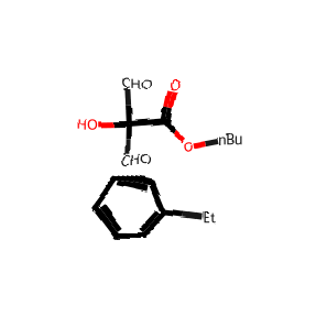 CCCCOC(=O)C(O)(C=O)C=O.CCc1ccccc1